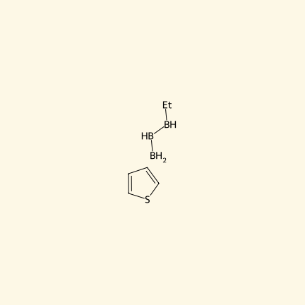 BBBCC.c1ccsc1